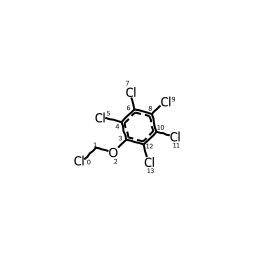 ClCOc1c(Cl)c(Cl)c(Cl)c(Cl)c1Cl